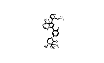 CC(=O)N1CCN(c2ccc(F)c(-c3cc(-c4ccnn4CC(F)(F)F)c4c(N)ncnn34)c2)C(=O)C1(C)C